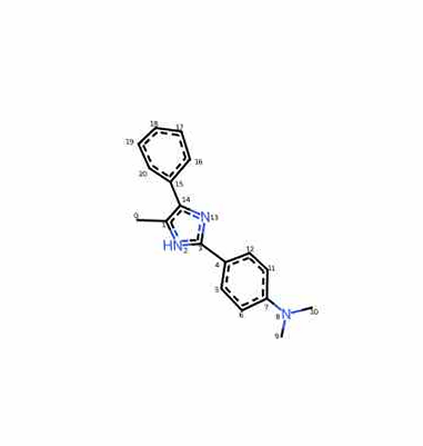 Cc1[nH]c(-c2ccc(N(C)C)cc2)nc1-c1ccccc1